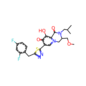 COCC1Cn2cc(-c3nnc(Cc4ccc(F)cc4F)s3)c(=O)c(O)c2C(=O)N1CC(C)C